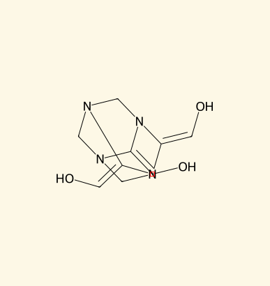 OC=C1N2CN3CN1C(=CO)N(C2)C3=CO